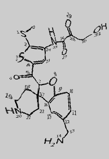 CSc1sc(C(=O)C2Oc3ccc(CN)cc3C23CCNCC3)cc1NC(=O)C(=O)CO